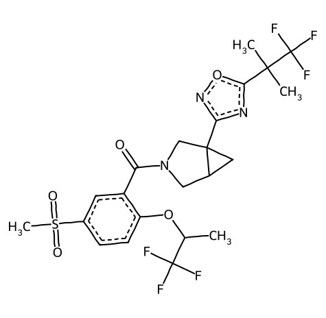 CC(Oc1ccc(S(C)(=O)=O)cc1C(=O)N1CC2CC2(c2noc(C(C)(C)C(F)(F)F)n2)C1)C(F)(F)F